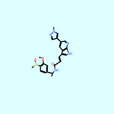 COc1cc(C(C)NC(=O)/C=C/c2c[nH]c3ncc(-c4cnn(C)c4)cc23)ccc1[S+](C)[O-]